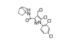 O=Cc1c(C(=O)NC23CCC(CC2)C3)nn(-c2ccc(Cl)cc2Cl)c1Cl